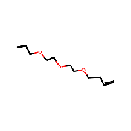 C=CCCOCCOCCOCCC